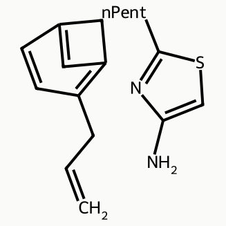 C=CCc1ccc2cc1C2.CCCCCc1nc(N)cs1